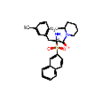 N#Cc1cccc(C[C@](N)(C(=O)N2CCCCC2C(=O)O)S(=O)(=O)c2ccc3ccccc3c2)c1